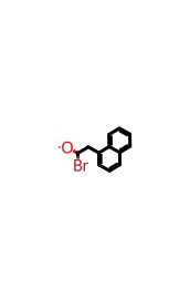 [O]C(Br)Cc1cccc2ccccc12